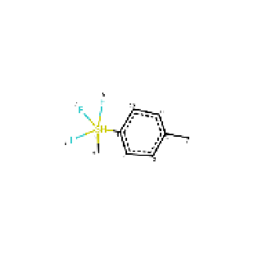 Cc1ccc([SH](C)(F)(F)F)cc1